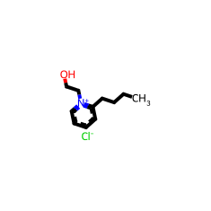 CCCCc1cccc[n+]1CCO.[Cl-]